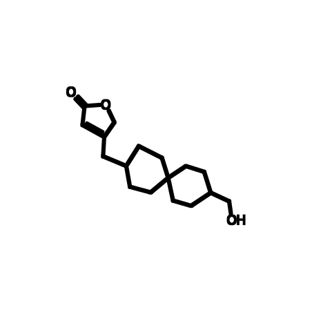 O=C1C=C(CC2CCC3(CCC(CO)CC3)CC2)CO1